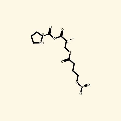 C[C@H](CSC(=O)CCCO[N+](=O)[O-])C(=O)OC(=O)[C@@H]1CCCN1